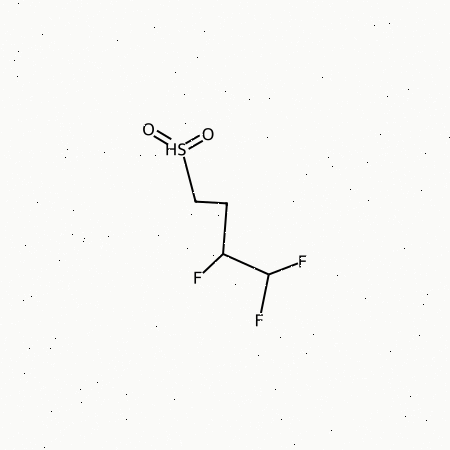 O=[SH](=O)CCC(F)C(F)F